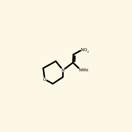 CNC(=C[N+](=O)[O-])N1CCOCC1